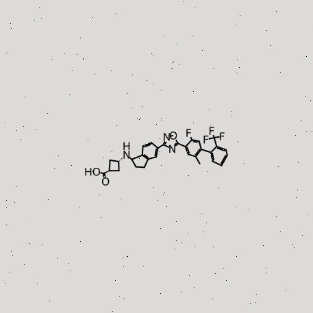 Cc1cc(-c2nc(-c3ccc4c(c3)CCC4N[C@H]3C[C@H](C(=O)O)C3)no2)c(F)cc1-c1ccccc1C(F)(F)F